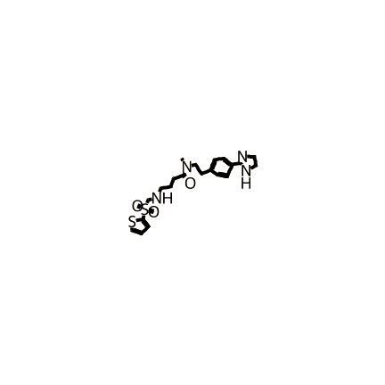 CN(CCc1ccc(C2=NCCN2)cc1)C(=O)CCCNCS(=O)(=O)c1cccs1